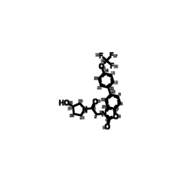 O=C(Cn1c(=O)oc2ccc(-c3ccc(OC(F)(F)F)cc3)cc21)N1CC[C@@H](O)C1